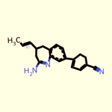 C/C=C/C1CC(N)=Nc2cc(C3=CC=C(C#N)CC3)ccc2C1